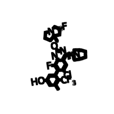 Cc1cc(O)cc(-c2c(Cl)cc3c(N4CC5CCC(C4)N5)nc(OCC45CCCN4C[C@H](F)C5)nc3c2F)c1C(F)(F)F